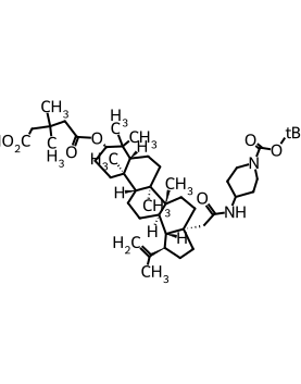 C=C(C)[C@@H]1CC[C@]2(CC(=O)NC3CCN(C(=O)OC(C)(C)C)CC3)CC[C@]3(C)[C@H](CC[C@@H]4[C@@]5(C)CC[C@H](OC(=O)CC(C)(C)CC(=O)O)C(C)(C)[C@@H]5CC[C@]43C)[C@@H]12